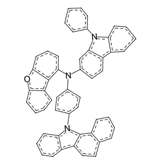 c1ccc(-n2c3ccccc3c3ccc(N(c4ccc(-n5c6ccccc6c6ccc7ccccc7c65)cc4)c4cccc5oc6ccccc6c45)cc32)cc1